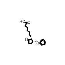 O=C(O)CCCCCC[C@H]1C(=O)CC[C@H]1COc1ccccc1